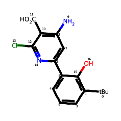 CC(C)(C)c1cccc(-c2cc(N)c(C(=O)O)c(Cl)n2)c1O